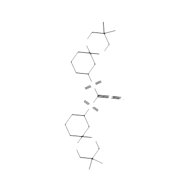 CC1(C)COC2(CCCC(S(=O)(=O)C(=[N+]=[N-])S(=O)(=O)C3CCCC4(C3)OCC(C)(C)CO4)C2)OC1